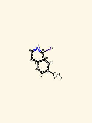 Cc1ccc2ccnc(I)c2c1